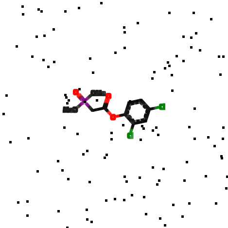 COP(=O)(CC(=O)Oc1ccc(Cl)cc1Cl)OC